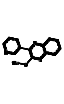 CC(C)(C)Oc1nc2ccccc2nc1-c1cccnc1